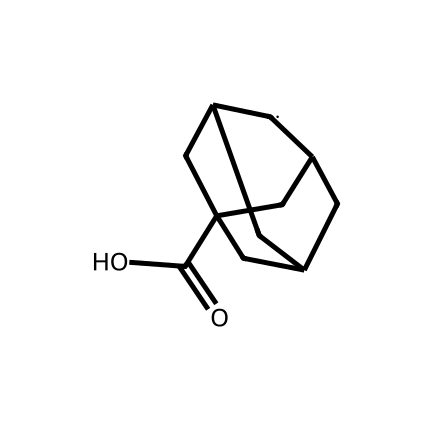 O=C(O)C12CC3[CH]C(CC(C3)C1)C2